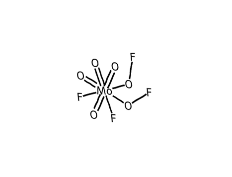 [O]=[Mo](=[O])(=[O])(=[O])([F])([F])([O]F)[O]F